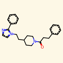 O=C(CCc1ccccc1)N1CCC(CCn2ccnc2-c2ccccc2)CC1